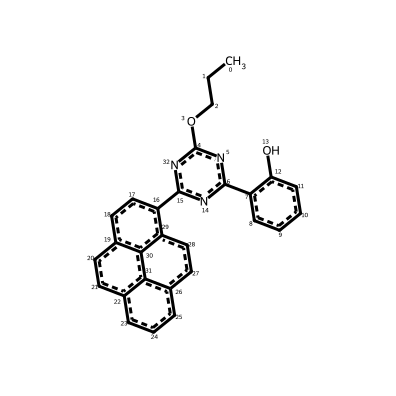 CCCOc1nc(-c2ccccc2O)nc(-c2ccc3ccc4cccc5ccc2c3c45)n1